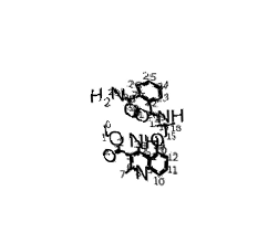 CCOC(=O)c1c(C)nc2cccc(OCC(C)(C)NC(=O)c3ccccc3C(N)=O)c2c1N